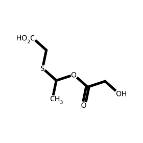 CC(OC(=O)CO)SCC(=O)O